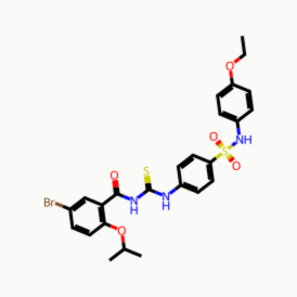 CCOc1ccc(NS(=O)(=O)c2ccc(NC(=S)NC(=O)c3cc(Br)ccc3OC(C)C)cc2)cc1